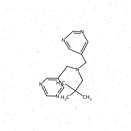 CC(C)(C)CN(Cc1cncnc1)Cc1cncnc1